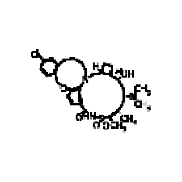 C[C@@H]1[C@@H](C)C[C@H](N(C)C)C[C@H](O)[C@@H]2CC[C@H]2CN2CCCCc3cc(Cl)ccc3COc3ccc(cc32)C(=O)NS1(=O)=O